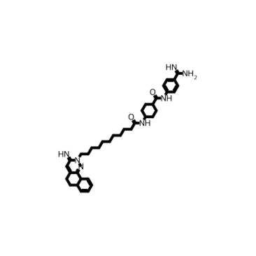 N=C(N)c1ccc(NC(=O)C2CCC(NC(=O)CCCCCCCCCCn3nc4c(cc3=N)CCC3C=CC=CC43)CC2)cc1